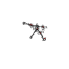 CCC(=O)NCCCCCNC(=O)C(CCCCNC(=O)/C=C(C)/C=C/C=C/C1=C(C)CCCC1(C)C)NC(=O)C(CCCCNC(=O)/C=C(C)/C=C/C=C(C)/C=C/C1=C(C)CCCC1(C)C)NC(=O)/C=C(C)/C=C/C=C(C)/C=C/C1=C(C)CCCC1(C)C